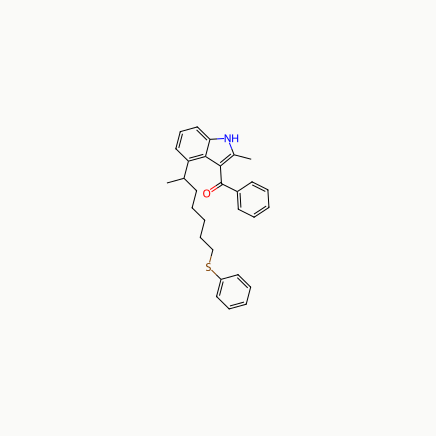 Cc1[nH]c2cccc(C(C)CCCCCSc3ccccc3)c2c1C(=O)c1ccccc1